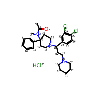 CC(=O)N(C)C1(c2ccccc2)CCN(C(CCN2CCCCC2)c2ccc(Cl)c(Cl)c2)CC1.Cl